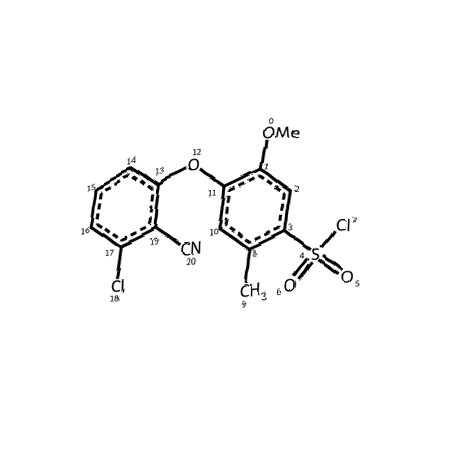 COc1cc(S(=O)(=O)Cl)c(C)cc1Oc1cccc(Cl)c1C#N